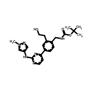 Cn1cc(Nc2nccc(-c3ccc(CNC(=O)OC(C)(C)C)c(CCO)c3)n2)cn1